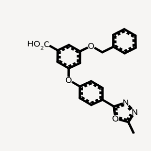 Cc1nnc(-c2ccc(Oc3cc(OCc4ccccc4)cc(C(=O)O)c3)cc2)o1